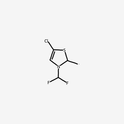 [CH2]C1SC(Cl)=CN1C(F)F